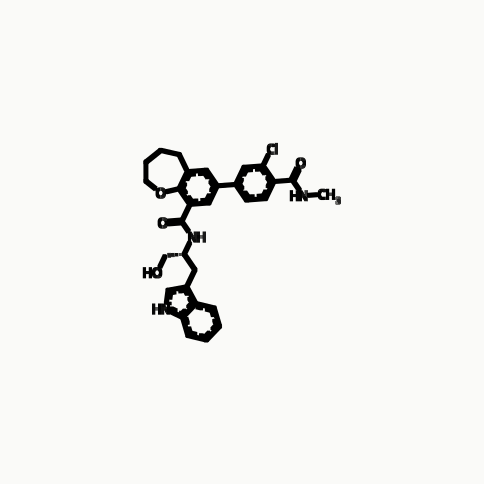 CNC(=O)c1ccc(-c2cc3c(c(C(=O)N[C@@H](CO)Cc4c[nH]c5ccccc45)c2)OCCCC3)cc1Cl